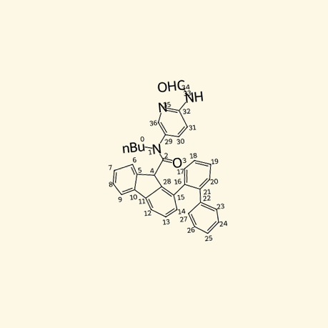 CCCCN(C(=O)C1c2ccccc2-c2cccc(-c3ccccc3-c3ccccc3)c21)c1ccc(NC=O)nc1